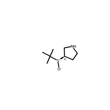 CC(C)(C)[S+]([O-])[C@@H]1CCNC1